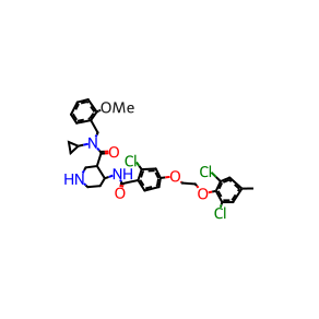 COc1ccccc1CN(C(=O)C1CNCCC1NC(=O)c1ccc(OCCOc2c(Cl)cc(C)cc2Cl)cc1Cl)C1CC1